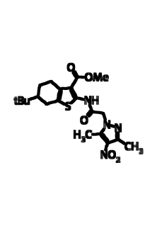 COC(=O)c1c(NC(=O)Cn2nc(C)c([N+](=O)[O-])c2C)sc2c1CCC(C(C)(C)C)C2